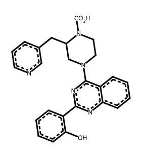 O=C(O)N1CCN(c2nc(-c3ccccc3O)nc3ccccc23)CC1Cc1cccnc1